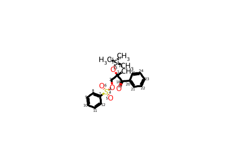 CC(COS(=O)(=O)c1ccccc1)(O[Si](C)(C)C)C(=O)c1ccccc1